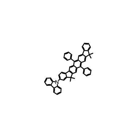 CC1(C)c2ccccc2-c2cc3c(-c4ccccc4)c4cc5c(cc4c(-c4ccccc4)c3cc21)C(C)(C)c1cc(-n2c3ccccc3c3ccccc32)ccc1-5